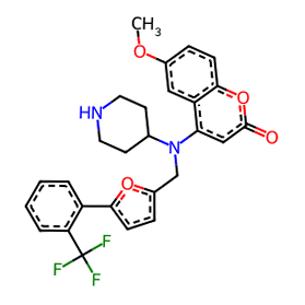 COc1ccc2oc(=O)cc(N(Cc3ccc(-c4ccccc4C(F)(F)F)o3)C3CCNCC3)c2c1